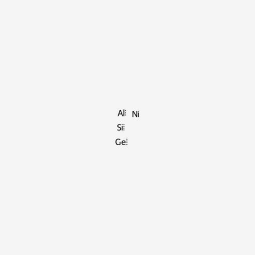 [Al].[Ge].[Ni].[Si]